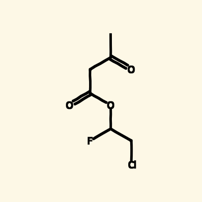 CC(=O)CC(=O)OC(F)CCl